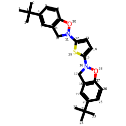 CC(C)(C)c1ccc2c(c1)CN(c1ccc(N3Cc4cc(C(C)(C)C)ccc4O3)s1)O2